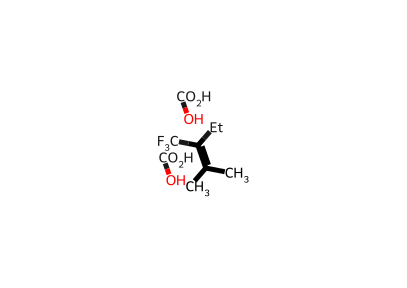 CCC(=C(C)C)C(F)(F)F.O=C(O)O.O=C(O)O